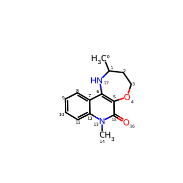 CC1CCOc2c(c3ccccc3n(C)c2=O)N1